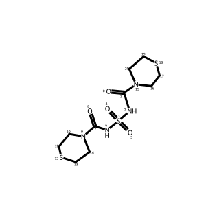 O=C(NS(=O)(=O)NC(=O)N1CCSCC1)N1CCSCC1